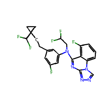 Fc1cc(CCC2(C(F)F)CC2)cc(N(CC(F)F)c2nc3nncn3c3cccc(F)c23)c1